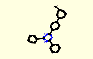 N#Cc1cccc(-c2ccc(-c3nc(-c4ccccc4)nc(-c4ccccc4)n3)cc2)c1